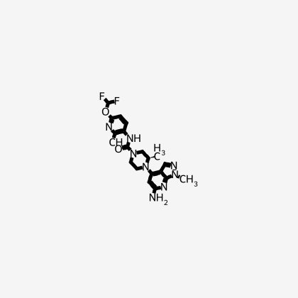 Cc1nc(OC(F)F)ccc1NC(=O)N1CCN(c2cc(N)nc3c2cnn3C)[C@@H](C)C1